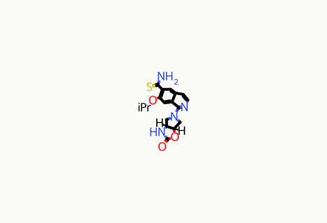 CC(C)Oc1cc2c(N3C[C@@H]4OC(=O)N[C@@H]4C3)nccc2cc1C(N)=S